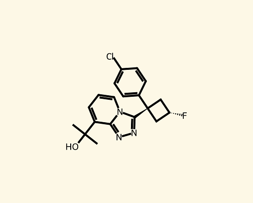 CC(C)(O)c1cccn2c1nnc2[C@]1(c2ccc(Cl)cc2)C[C@@H](F)C1